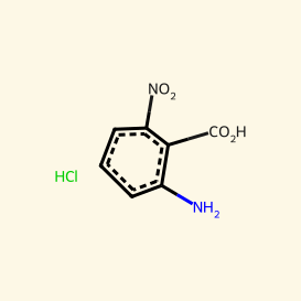 Cl.Nc1cccc([N+](=O)[O-])c1C(=O)O